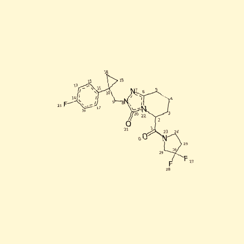 O=C(C1CCCc2nn(CC3(c4ccc(F)cc4)CC3)c(=O)n21)N1CCC(F)(F)C1